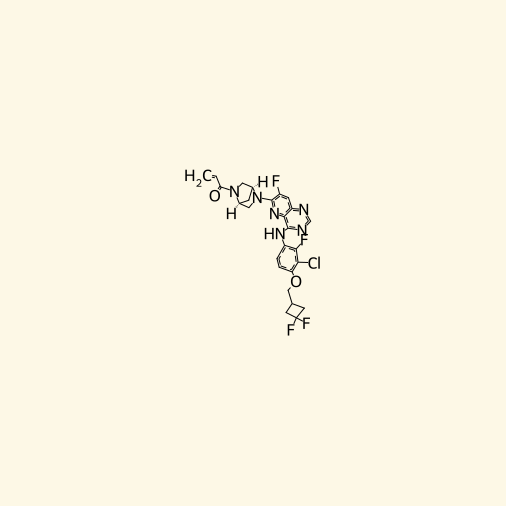 C=CC(=O)N1C[C@@H]2C[C@H]1CN2c1nc2c(Nc3ccc(OCC4CC(F)(F)C4)c(Cl)c3F)ncnc2cc1F